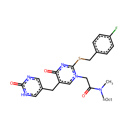 CCCCCCCCN(C)C(=O)Cn1cc(Cc2cnc(=O)[nH]c2)c(=O)nc1SCc1ccc(F)cc1